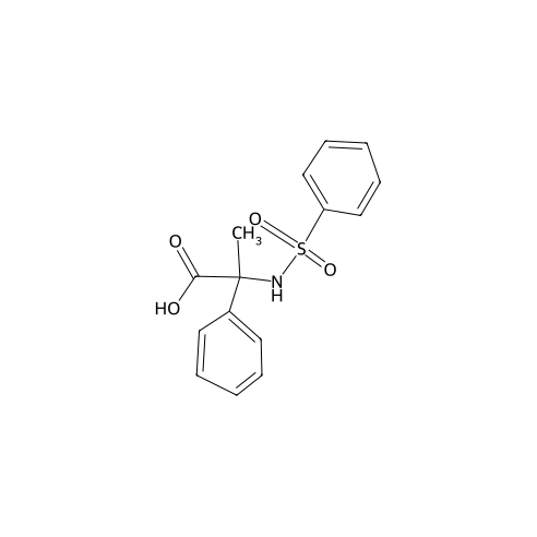 CC(NS(=O)(=O)c1ccccc1)(C(=O)O)c1ccccc1